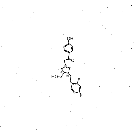 O=C(CN1C[C@@H](CCc2ccc(F)cc2F)[C@@H](CO)C1)c1ccc(O)cc1